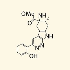 COC(=O)C1(N)CCc2[nH]c3nnc(-c4ccccc4O)cc3c2C1